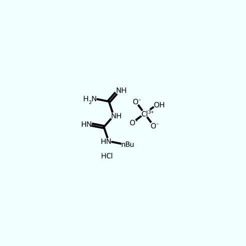 CCCCNC(=N)NC(=N)N.Cl.[O-][Cl+3]([O-])([O-])O